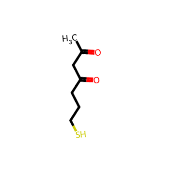 CC(=O)CC(=O)CCCS